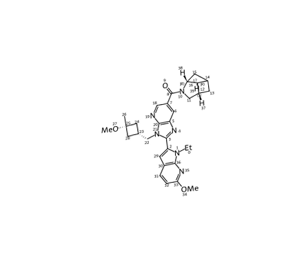 CCn1c(-c2nc3cc(C(=O)N4C[C@H]5CC6C[C@@H]4[C@H]65)cnc3n2C[C@H]2C[C@@](C)(OC)C2)cc2ccc(OC)nc21